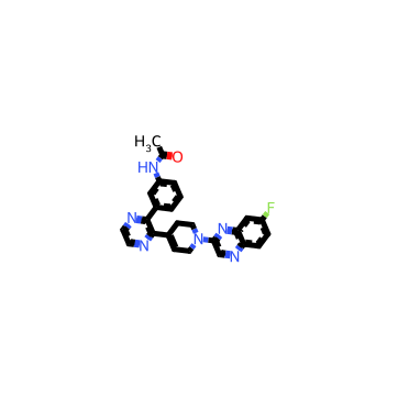 CC(=O)Nc1cccc(-c2nccnc2C2=CCN(c3cnc4ccc(F)cc4n3)CC2)c1